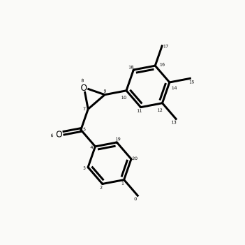 Cc1ccc(C(=O)C2OC2c2cc(C)c(C)c(C)c2)cc1